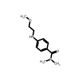 COCCNc1ccc(C(=O)N(C)C)cc1